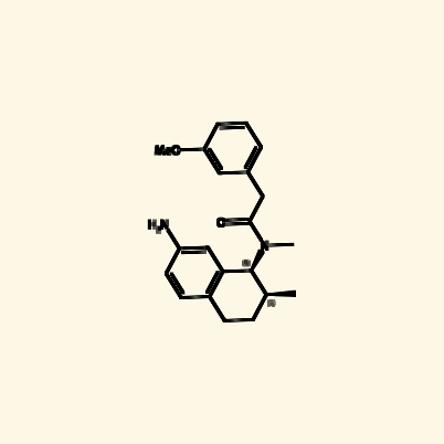 COc1cccc(CC(=O)N(C)[C@@H]2c3cc(N)ccc3CC[C@@H]2C)c1